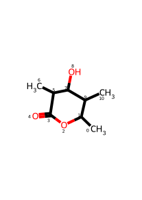 CC1OC(=O)C(C)C(O)C1C